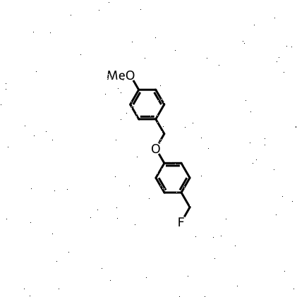 COc1ccc(COc2ccc(CF)cc2)cc1